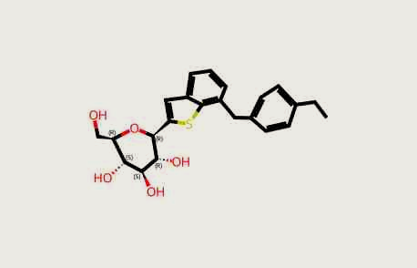 CCc1ccc(Cc2cccc3cc([C@@H]4O[C@H](CO)[C@@H](O)[C@H](O)[C@H]4O)sc23)cc1